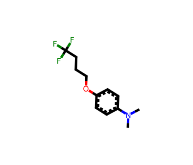 CN(C)c1ccc(OCCCC(F)(F)F)cc1